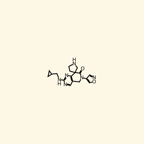 O=C1N(c2cnoc2)Cc2cnc(NCC3CC3)nc2C12CCNC2